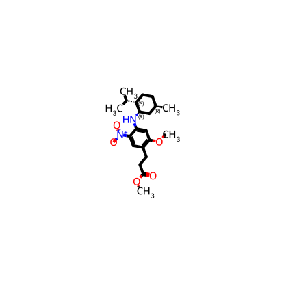 COC(=O)CCc1cc([N+](=O)[O-])c(N[C@@H]2C[C@H](C)CC[C@H]2C(C)C)cc1OC